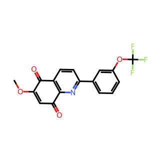 COC1=CC(=O)c2nc(-c3cccc(OC(F)(F)F)c3)ccc2C1=O